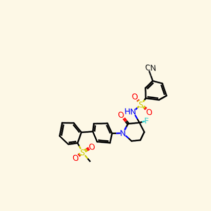 CS(=O)(=O)c1ccccc1-c1ccc(N2CCCC(F)(NS(=O)(=O)c3cccc(C#N)c3)C2=O)cc1